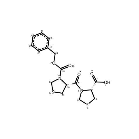 O=C(O)[C@@H]1CSCN1C(=O)[C@@H]1CSCN1C(=O)OCc1ccccc1